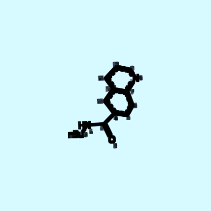 CCCCNC(=O)c1ccc2ncccc2c1